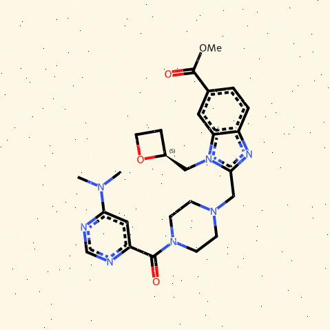 COC(=O)c1ccc2nc(CN3CCN(C(=O)c4cc(N(C)C)ncn4)CC3)n(C[C@@H]3CCO3)c2c1